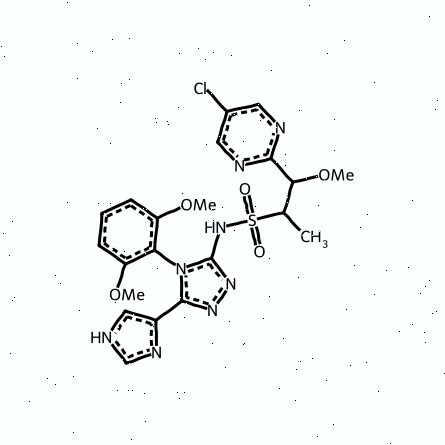 COc1cccc(OC)c1-n1c(NS(=O)(=O)C(C)C(OC)c2ncc(Cl)cn2)nnc1-c1c[nH]cn1